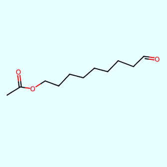 CC(=O)OCCCCCCCCC=O